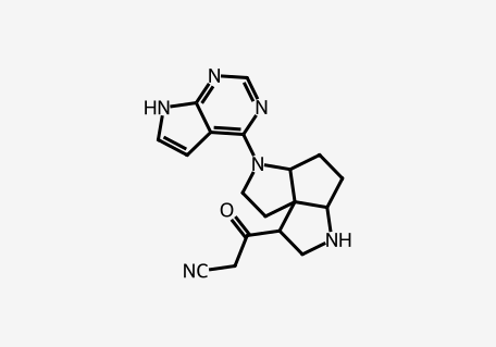 N#CCC(=O)C1CNC2CCC3N(c4ncnc5[nH]ccc45)CCC213